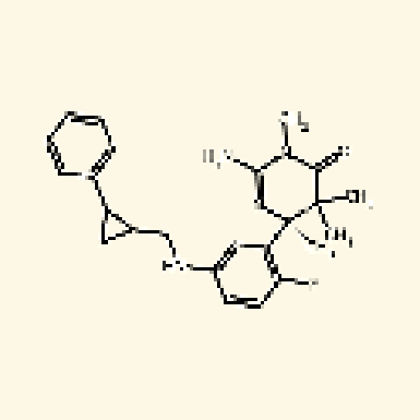 CN1C(=O)C(C)(C)[C@@](C)(c2cc(NCC3CC3c3ccccc3)ccc2F)N=C1N